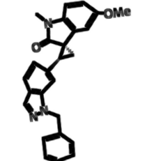 COc1ccc2c(c1)[C@]1(C[C@H]1c1ccc3cnn(Cc4ccccc4)c3c1)C(=O)N2C